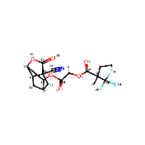 CCC(C)(C(=O)OCC(=O)OC1C2CC3C1OC(=O)C3(C#N)C2)C(F)(F)F